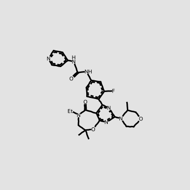 CCN1CC(C)(C)Oc2nc(N3CCOCC3C)nc(-c3ccc(NC(=O)Nc4ccncc4)cc3F)c2C1=O